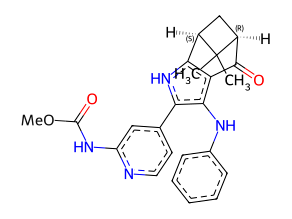 COC(=O)Nc1cc(-c2[nH]c3c(c2Nc2ccccc2)C(=O)[C@@H]2C[C@H]3C2(C)C)ccn1